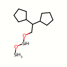 [SiH3]O[SiH]OCC(C1CCCC1)C1CCCC1